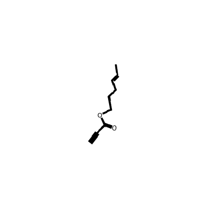 C#CC(=O)OCCCC=CC